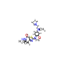 CN(CCN1CCCC1)c1ccc2c(c1)OCCN2c1nc2c(s1)C(=O)NC(C)(C)C2